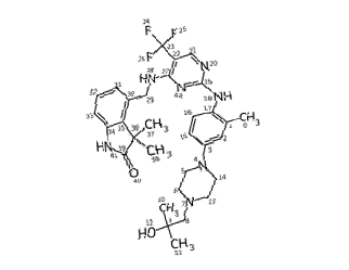 Cc1cc(N2CCN(CC(C)(C)O)CC2)ccc1Nc1ncc(C(F)(F)F)c(NCc2cccc3c2C(C)(C)C(=O)N3)n1